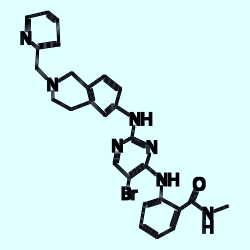 CNC(=O)c1ccccc1Nc1nc(Nc2ccc3c(c2)CCN(Cc2ccccn2)C3)ncc1Br